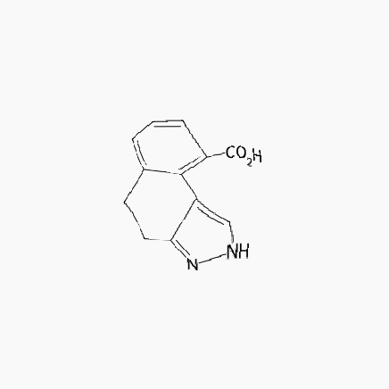 O=C(O)c1cccc2c1-c1c[nH]nc1CC2